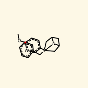 COc1ccc(CN2C3CC2CN(Cc2ccccc2)C3)cn1